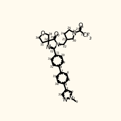 Cn1cc(-c2ccc(-c3ccc(C4=NC5(CCOC5)C(=O)N4CC4CCN(C(=O)C(F)(F)F)C4)cc3)cc2)cn1